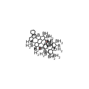 Bc1c(B)c(-c2c(B)c(B)c(B)c3oc4c(B)c(B)c(B)c(B)c4c23)c(B)c(B)c1-c1c2c(B)c(B)c(B)c(B)c2c(-c2cc3ccccc3c3ccccc23)c2c(B)c(B)c(B)c(B)c12